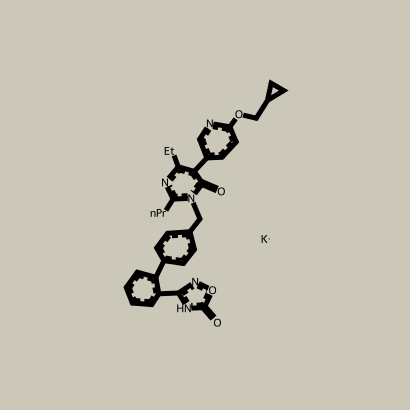 CCCc1nc(CC)c(-c2ccc(OCC3CC3)nc2)c(=O)n1Cc1ccc(-c2ccccc2-c2noc(=O)[nH]2)cc1.[K]